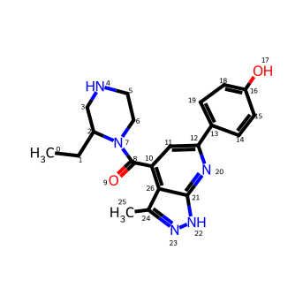 CCC1CNCCN1C(=O)c1cc(-c2ccc(O)cc2)nc2[nH]nc(C)c12